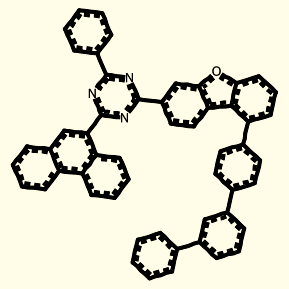 c1ccc(-c2cccc(-c3ccc(-c4cccc5oc6cc(-c7nc(-c8ccccc8)nc(-c8cc9ccccc9c9ccccc89)n7)ccc6c45)cc3)c2)cc1